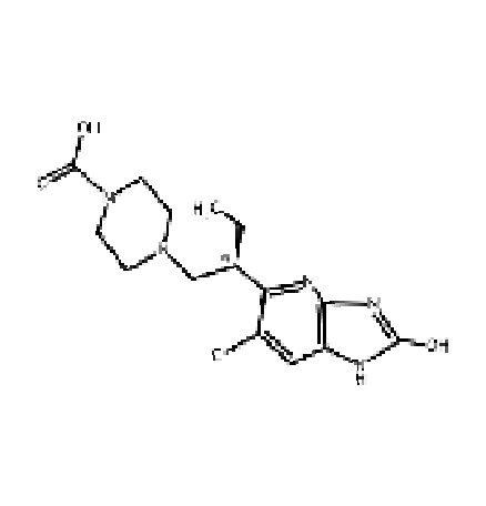 CC[C@H](CN1CCN(C(=O)O)CC1)c1nc2nc(O)[nH]c2cc1Cl